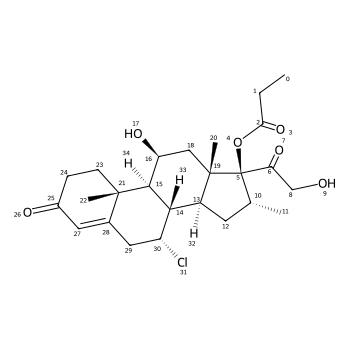 CCC(=O)O[C@@]1(C(=O)CO)[C@H](C)C[C@H]2[C@H]3[C@H]([C@@H](O)C[C@@]21C)[C@@]1(C)CCC(=O)C=C1C[C@H]3Cl